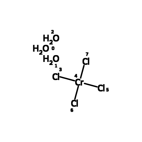 O.O.O.[Cl][Cr]([Cl])([Cl])[Cl]